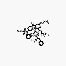 CNS(=O)(=O)NC1CCN(C(=O)[C@@H](CCCCN)NC(=O)[C@@H](C=C(C)C)NC(=O)[C@@H](Cc2ccccc2)NC(=O)[C@H](N)Cc2ccccc2)CC1